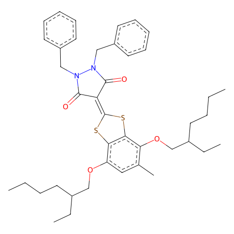 CCCCC(CC)COc1cc(C)c(OCC(CC)CCCC)c2c1SC(=C1C(=O)N(Cc3ccccc3)N(Cc3ccccc3)C1=O)S2